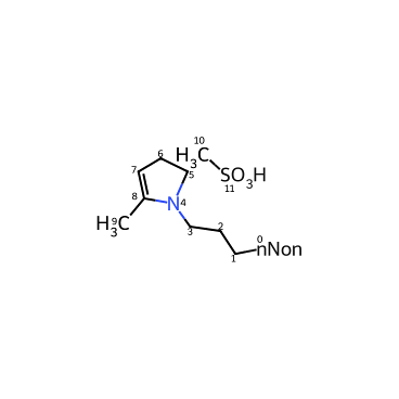 CCCCCCCCCCCCN1CCC=C1C.CS(=O)(=O)O